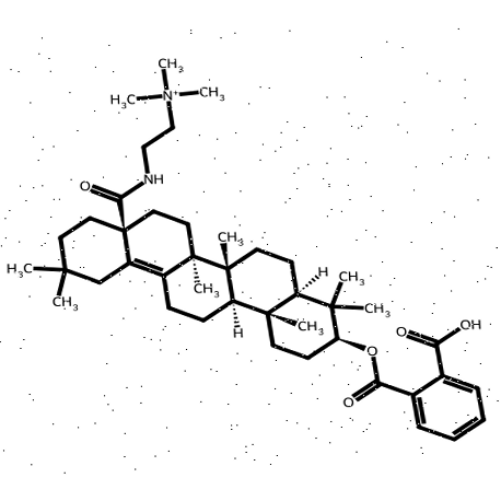 CC1(C)CC[C@]2(C(=O)NCC[N+](C)(C)C)CC[C@]3(C)C(=C2C1)CC[C@@H]1[C@@]2(C)CC[C@H](OC(=O)c4ccccc4C(=O)O)C(C)(C)[C@@H]2CC[C@]13C